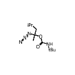 CC(C)CC(C)(N=[N+]=[N-])OC(=O)NC(C)(C)C